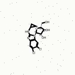 OC[C@H]1O[C@H](n2c(NC3CC3)nc3cc(Cl)c(Cl)cc32)[C@@H](O)[C@H]1O